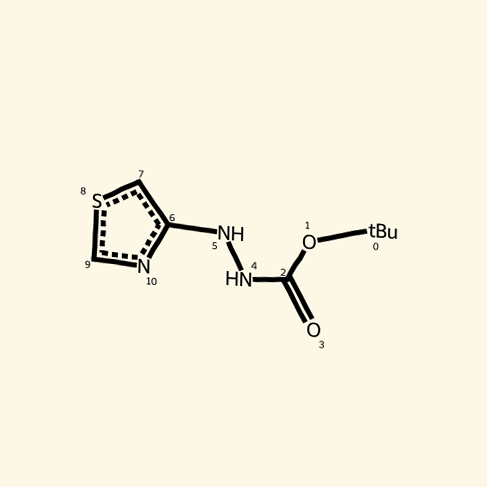 CC(C)(C)OC(=O)NNc1cscn1